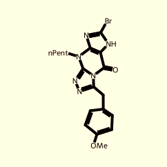 CCCCCn1c2nc(Br)[nH]c2c(=O)n2c(Cc3ccc(OC)cc3)nnc12